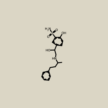 CC(CCc1ccccc1)NCC(O)c1ccc(O)c(S(N)(=O)=O)c1